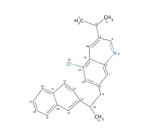 CC(C)c1cnc2cc(CC(C)c3ccc4ccccc4c3)cc(Cl)c2c1